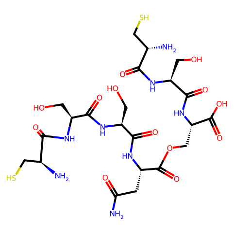 NC(=O)C[C@H](NC(=O)[C@H](CO)NC(=O)[C@H](CO)NC(=O)[C@@H](N)CS)C(=O)OC[C@H](NC(=O)[C@H](CO)NC(=O)[C@@H](N)CS)C(=O)O